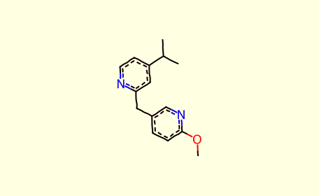 COc1ccc(Cc2cc(C(C)C)ccn2)cn1